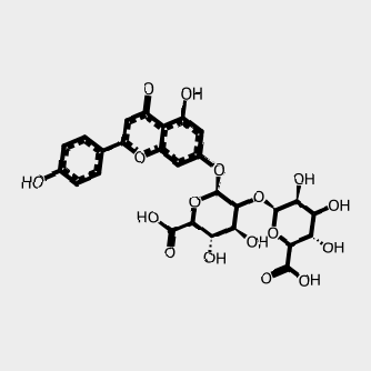 O=C(O)C1O[C@@H](OC2[C@H](Oc3cc(O)c4c(=O)cc(-c5ccc(O)cc5)oc4c3)OC(C(=O)O)[C@@H](O)[C@@H]2O)[C@@H](O)C(O)[C@@H]1O